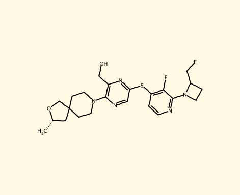 C[C@H]1CC2(CCN(c3ncc(Sc4ccnc(N5CCC5CF)c4F)nc3CO)CC2)CO1